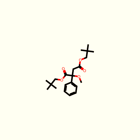 COC(CC(=O)OCC(C)(C)C)(C(=O)OCC(C)(C)C)c1ccccc1